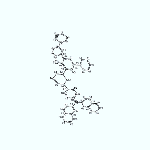 c1cccc(-c2ccc3oc4c(C5CC=CC(c6ccc(N(c7ccc8ccccc8c7)c7ccc8ccccc8c7)cc6)C5)cc(-c5ccccc5)cc4c3c2)c#1